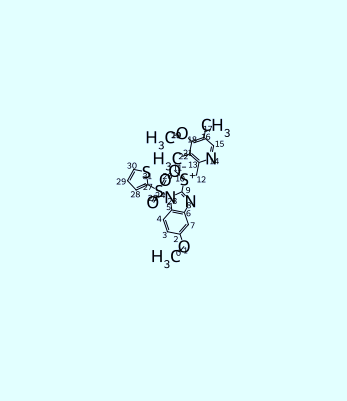 COc1ccc2c(c1)nc([S+]([O-])Cc1ncc(C)c(OC)c1C)n2S(=O)(=O)c1cccs1